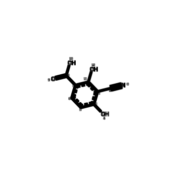 N#Cc1c(O)ccc(C(=O)O)c1O